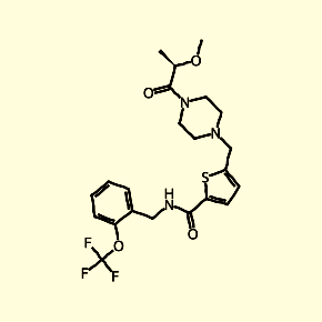 CO[C@H](C)C(=O)N1CCN(Cc2ccc(C(=O)NCc3ccccc3OC(F)(F)F)s2)CC1